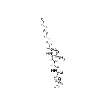 CCCCCCCCCCCC(=O)NC(CCCCNC(=O)COC(C)(C)CC)C(N)=O